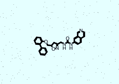 O=C(NCC1=NOC(COc2ccccc2-c2ccccc2)C1)Nc1ccc2ccncc2c1